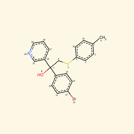 Cc1ccc(SCC(O)(c2ccc(Br)cc2)c2cccnc2)cc1